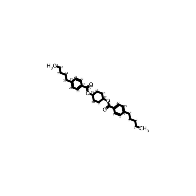 CCCCCc1ccc(C(=O)OC2CCC(OC(=O)c3ccc(CCCCC)cc3)CC2)cc1